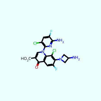 Nc1nc(-n2cc(C(=O)O)c(=O)c3cc(F)c(N4CC(N)C4)c(Cl)c32)c(Cl)cc1F